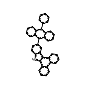 c1ccc(-c2c3ccccc3c(-c3ccc4[nH]c5c6ccccc6c6ccccc6c5c4c3)c3ccccc23)cc1